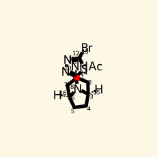 CC(=O)N[C@@H]1C[C@H]2CC[C@@H](C1)N2c1nnc(Br)s1